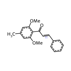 COc1cc(C)cc(OC)c1C(=O)/C=C/c1ccccc1